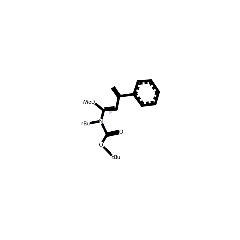 C=C(/C=C(\OC)N(CCCC)C(=O)OC(C)(C)C)c1ccccc1